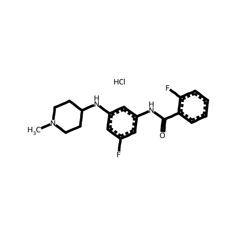 CN1CCC(Nc2cc(F)cc(NC(=O)c3ccccc3F)c2)CC1.Cl